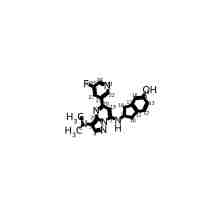 CN(C)c1cnn2c(NC3Cc4ccc(O)cc4C3)cc(-c3cncc(F)c3)nc12